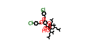 C=C(C)C(CC=C(C)C)CC12CC(CC=C(C)C)C(C)(C)C(CC=C(C)C)(C(=O)C(C(=O)c3ccc(OCc4ccc(Cl)cc4)c(OCc4ccc(Cl)cc4)c3)=C1O)C2=O